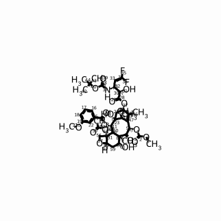 COC(=O)O[C@H]1C(=O)[C@@]2(C)[C@H]([C@H](OC(=O)c3cccc(OC)c3)[C@]3(O)C[C@H](OC(=O)[C@H](O)[C@H](C=C(F)F)NC(=O)OC(C)(C)C)C(C)=C1C3(C)C)[C@]1(OC(C)=O)CO[C@@H]1C[C@@H]2O